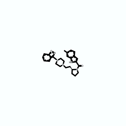 Cc1ccc2cc(C(=O)N3CCC[C@H]3CCN3CCN(c4noc5ccccc45)CC3)[nH]c2c1